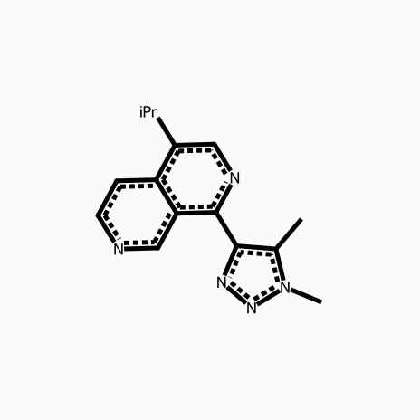 Cc1c(-c2ncc(C(C)C)c3ccncc23)nnn1C